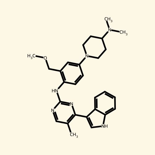 COCc1cc(N2CCC(N(C)C)CC2)ccc1Nc1ncc(C)c(-c2c[nH]c3ccccc23)n1